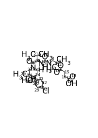 CC(C)[C@@H](NC(=O)NCC(C)(C)OC(=O)CCC(=O)O)C(=O)N1CC[C@](O)(c2ccc(Cl)cc2)C(C)(C)C1